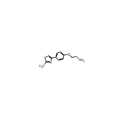 Cc1nc(-c2ccc(OCCN)cc2)co1